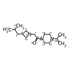 CC(C)CC1CN(CC(=O)N2CCN(C(C)C)CC2)C1